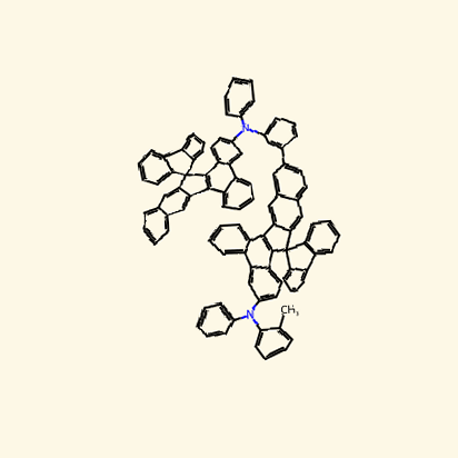 Cc1ccccc1N(c1ccccc1)c1ccc2c3c(c4ccccc4c2c1)-c1cc2cc(-c4cccc(N(c5ccccc5)c5ccc6c7c(c8ccccc8c6c5)-c5cc6ccccc6cc5C75c6ccccc6-c6ccccc65)c4)ccc2cc1C31c2ccccc2-c2ccccc21